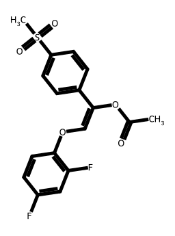 CC(=O)O/C(=C/Oc1ccc(F)cc1F)c1ccc(S(C)(=O)=O)cc1